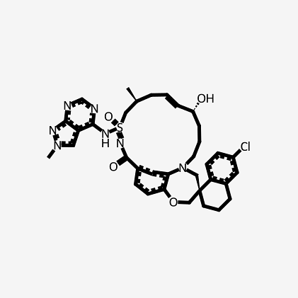 C[C@H]1C/C=C/[C@H](O)CCCN2C[C@@]3(CCCc4cc(Cl)ccc43)COc3ccc(cc32)C(=O)N=S(=O)(Nc2ncnc3nn(C)cc23)C1